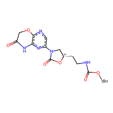 CC(C)(C)OC(=O)NCC[C@H]1CN(c2cnc3c(n2)NC(=O)CO3)C(=O)O1